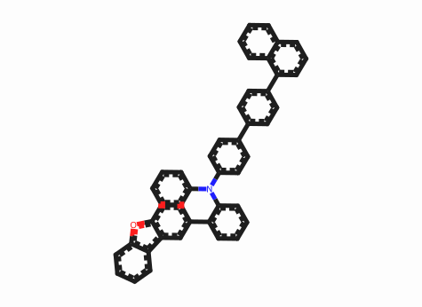 c1ccc(N(c2ccc(-c3ccc(-c4cccc5ccccc45)cc3)cc2)c2ccccc2-c2ccc3oc4ccccc4c3c2)cc1